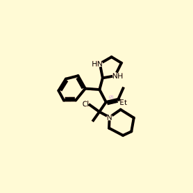 CC/C(C)=C(/C(c1ccccc1)C1NCCN1)C(C)(Cl)N1CCCCC1